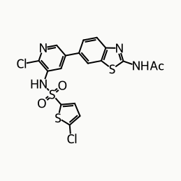 CC(=O)Nc1nc2ccc(-c3cnc(Cl)c(NS(=O)(=O)c4ccc(Cl)s4)c3)cc2s1